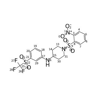 O=[N+]([O-])c1ccccc1S(=O)(=O)N1CCC(Nc2cccc(S(=O)(=O)C(F)(F)F)c2)CC1